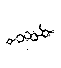 CCc1cc(=O)[nH]cc1-c1ccc2c(c1)COC1(CCN(C3CCC3)CC1)O2